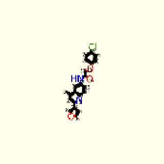 Cc1cc(-c2ccoc2)nc2ccc(NC(=O)COc3ccc(Cl)cc3)cc12